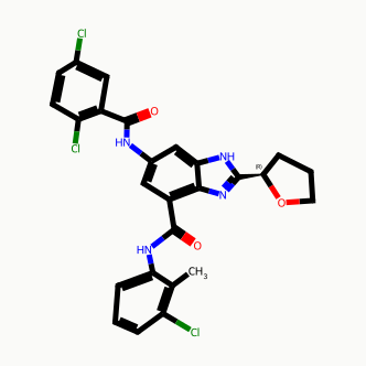 Cc1c(Cl)cccc1NC(=O)c1cc(NC(=O)c2cc(Cl)ccc2Cl)cc2[nH]c([C@H]3CCCO3)nc12